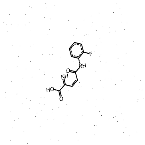 N=C(/C=C\C(=O)Nc1ccccc1F)C(=O)O